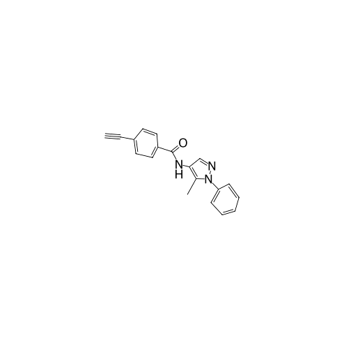 C#Cc1ccc(C(=O)Nc2cnn(-c3ccccc3)c2C)cc1